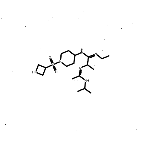 CC/N=C(/NC1CCN(S(=O)(=O)C2CNC2)CC1)C(C)/N=C(/C)NC(C)C